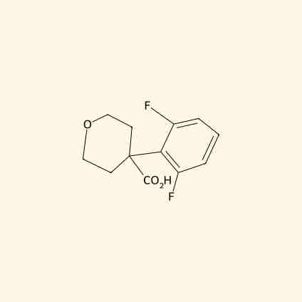 O=C(O)C1(c2c(F)cccc2F)CCOCC1